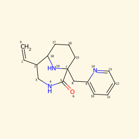 C=CC1CNC(=O)C2(Cc3ccccn3)CCCC1N2